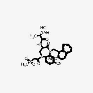 CNC(C)C(=O)NC1CN(C(=O)CS(C)(=O)=O)c2ccc(C#N)cc2N(Cc2c(OC)ccc3ccccc23)C1=O.Cl